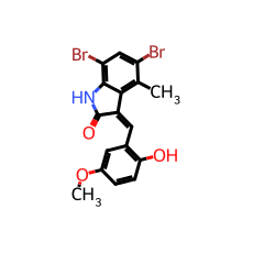 COc1ccc(O)c(C=C2C(=O)Nc3c(Br)cc(Br)c(C)c32)c1